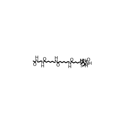 CC(=O)NCCNC(=O)CCCCCNC(=O)CCCCCNC(=O)CCCC[C@@H]1SC[C@@H]2NC(=O)N[C@@H]21